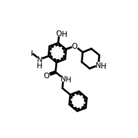 O=C(NCc1ccccc1)c1cc(OC2CCNCC2)c(O)cc1NI